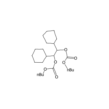 CCCCOC(=O)OC(C1CCCCC1)C(OC(=O)OCCCC)C1CCCCC1